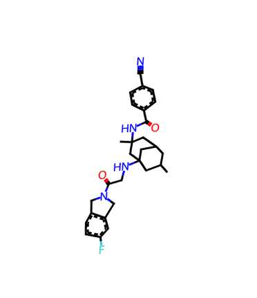 CC1CC2CC(C)(NC(=O)c3ccc(C#N)cc3)CC(NCC(=O)N3Cc4ccc(F)cc4C3)(C1)C2